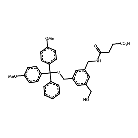 COc1ccc(C(OCc2cc(CO)cc(CNC(=O)CCC(=O)O)c2)(c2ccccc2)c2ccc(OC)cc2)cc1